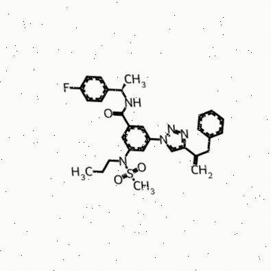 C=C(Cc1ccccc1)c1cn(-c2cc(C(=O)N[C@H](C)c3ccc(F)cc3)cc(N(CCC)S(C)(=O)=O)c2)nn1